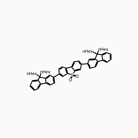 CCCCCCC1(CCCCCC)c2ccccc2-c2ccc(-c3ccc4c(c3)S(=O)(=O)c3cc(-c5ccc6c(c5)C(CCCCCC)(CCCCCC)c5ccccc5-6)ccc3-4)cc21